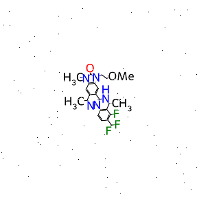 COCCn1c(=O)n(C)c2cc3c(C)nnc(N[C@H](C)c4cccc(C(F)F)c4F)c3cc21